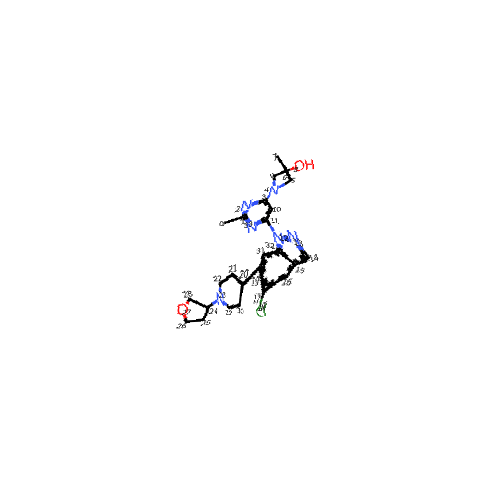 Cc1nc(N2CC(C)(O)C2)cc(-n2ncc3cc(Cl)c(C4CCN(C5CCOC5)CC4)cc32)n1